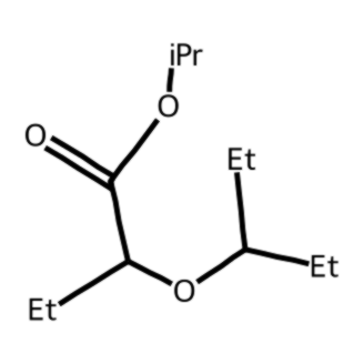 CCC(CC)OC(CC)C(=O)OC(C)C